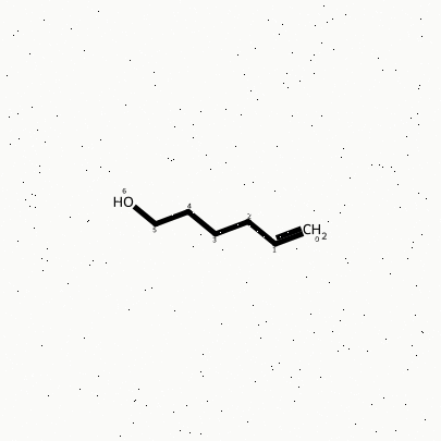 C=CC[CH]CCO